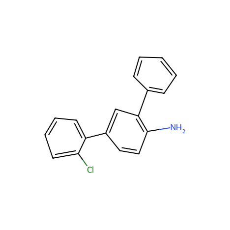 Nc1ccc(-c2ccccc2Cl)cc1-c1ccccc1